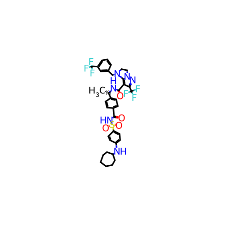 C[C@H](NC(=O)c1c(C(F)(F)F)nn2c1N(Cc1cccc(C(F)(F)F)c1)CC2)c1ccc(C(=O)NS(=O)(=O)c2ccc(NC3CCCCCC3)cc2)cc1